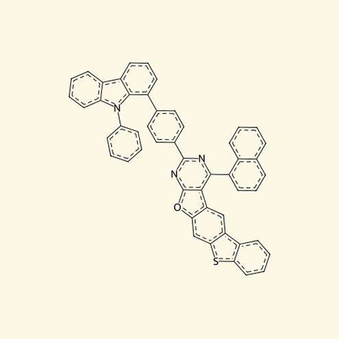 c1ccc(-n2c3ccccc3c3cccc(-c4ccc(-c5nc(-c6cccc7ccccc67)c6c(n5)oc5cc7sc8ccccc8c7cc56)cc4)c32)cc1